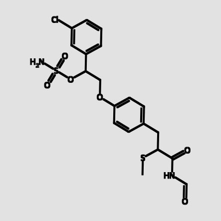 CSC(Cc1ccc(OCC(OS(N)(=O)=O)c2cccc(Cl)c2)cc1)C(=O)NC=O